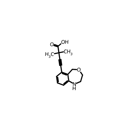 CC(C)(C#Cc1cccc2c1COCCN2)C(=O)O